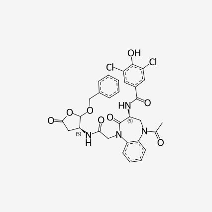 CC(=O)N1C[C@H](NC(=O)c2cc(Cl)c(O)c(Cl)c2)C(=O)N(CC(=O)N[C@H]2CC(=O)OC2OCc2ccccc2)c2ccccc21